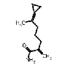 C=C(CCCC(C)=C1CC1)C(N)=O